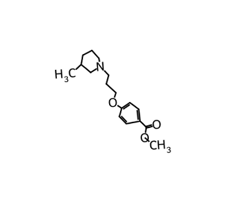 COC(=O)c1ccc(OCCCN2CCCC(C)C2)cc1